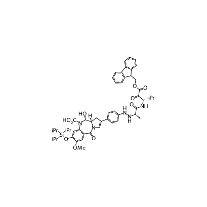 COc1cc2c(cc1O[Si](C(C)C)(C(C)C)C(C)C)N(C(=O)O)[C@@H](O)[C@@H]1CC(c3ccc(NN[C@H](C)C(=O)N[C@H](C(=O)C(=O)OCC4c5ccccc5-c5ccccc54)C(C)C)cc3)=CN1C2=O